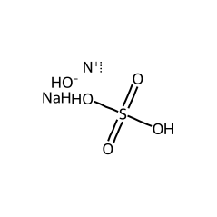 O=S(=O)(O)O.[N+].[NaH].[OH-]